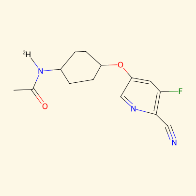 [2H]N(C(C)=O)C1CCC(Oc2cnc(C#N)c(F)c2)CC1